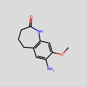 COc1cc2c(cc1N)CCCC(=O)N2